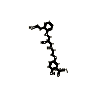 C=CCc1ccccc1OCC(O)CNCCOc1ccc(O)c(C(N)=O)c1